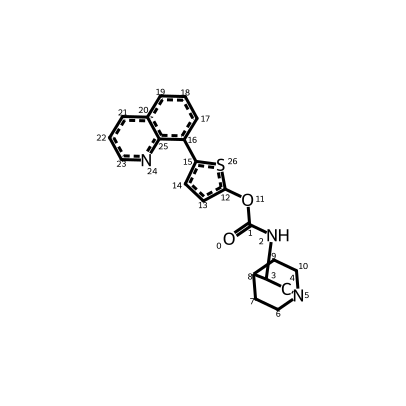 O=C(NC1CN2CCC1CC2)Oc1ccc(-c2cccc3cccnc23)s1